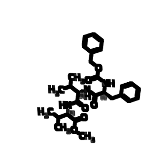 COC(=O)[C@@H](NC(=O)[C@@H](NC(=O)[C@H](Cc1ccccc1)NC(=O)OCc1ccccc1)C(C)C)C(C)C